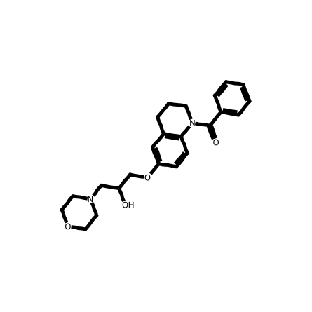 O=C(c1ccccc1)N1CCCc2cc(OCC(O)CN3CCOCC3)ccc21